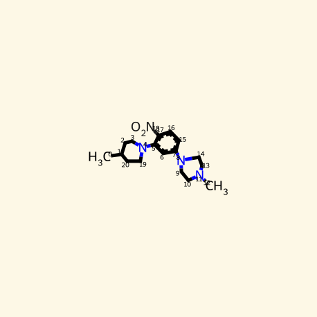 CC1CCN(c2cc(N3CCN(C)CC3)ccc2[N+](=O)[O-])CC1